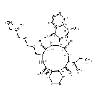 CCC(=O)CCCCC[C@@H]1NC(=O)[C@H]2CCCCN2C(=O)[C@H](C(C)CC)NC(=O)[C@H](CC(=O)c2ccccc2[N+](=O)[O-])NC1=O